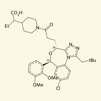 CCC(C(=O)O)C1CCN(C(=O)CC[C@H]2O[C@H](c3cccc(OC)c3OC)c3cc(Cl)ccc3-n3c(CC(C)(C)C)nnc32)CC1